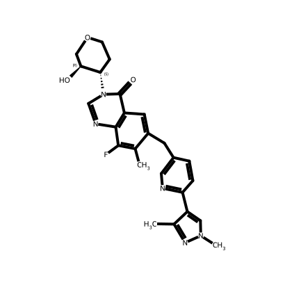 Cc1nn(C)cc1-c1ccc(Cc2cc3c(=O)n([C@H]4CCOC[C@@H]4O)cnc3c(F)c2C)cn1